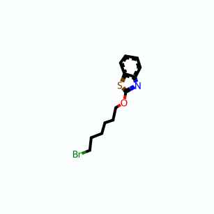 BrCCCCCCOc1nc2ccccc2s1